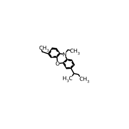 CCc1ccc2c(c1)Oc1cc(C(C)CC)ccc1N2CC